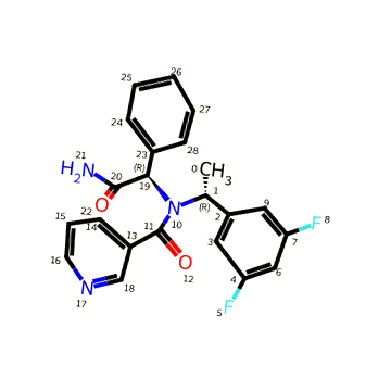 C[C@H](c1cc(F)cc(F)c1)N(C(=O)c1cccnc1)[C@@H](C(N)=O)c1ccccc1